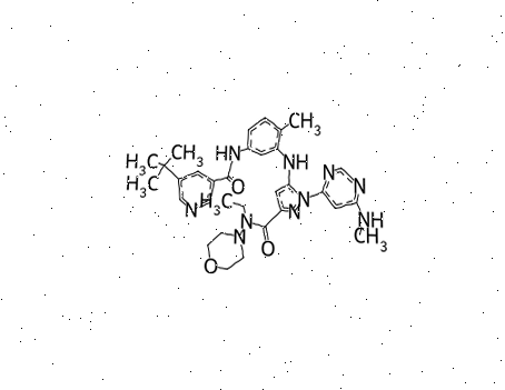 CCN(C(=O)c1cc(Nc2cc(NC(=O)c3cncc(C(C)(C)C)c3)ccc2C)n(-c2cc(NC)ncn2)n1)N1CCOCC1